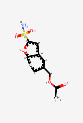 CC(=O)OCc1ccc2oc(S(N)(=O)=O)cc2c1